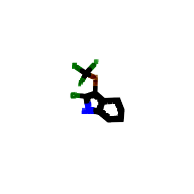 FC(F)(F)Sc1c(Cl)[nH]c2ccccc12